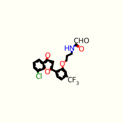 O=CC(=O)NCCCOc1cc(C(F)(F)F)ccc1-c1cc(=O)c2cccc(Cl)c2o1